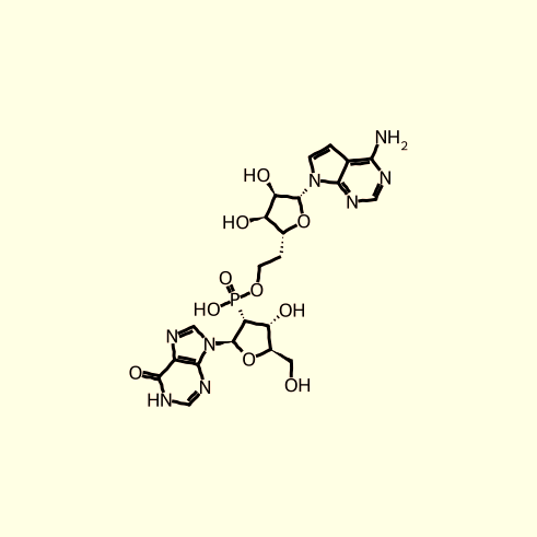 Nc1ncnc2c1ccn2[C@@H]1O[C@H](CCOP(=O)(O)[C@@H]2[C@H](O)[C@@H](CO)O[C@H]2n2cnc3c(=O)[nH]cnc32)[C@@H](O)[C@H]1O